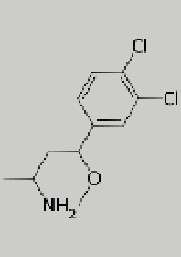 COC(CC(C)N)c1ccc(Cl)c(Cl)c1